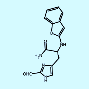 NC(=O)[C@H](Cc1c[nH]c(C=O)n1)Nc1cc2ccccc2o1